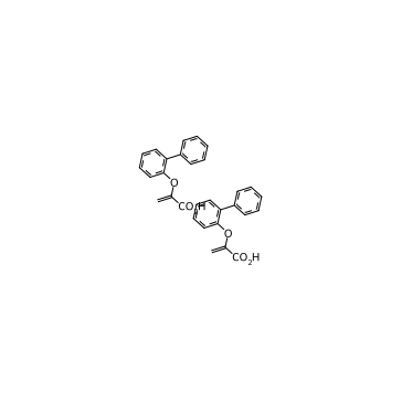 C=C(Oc1ccccc1-c1ccccc1)C(=O)O.C=C(Oc1ccccc1-c1ccccc1)C(=O)O